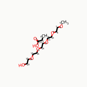 CCC(=O)O.COCCOCCOCCOCCOCCO